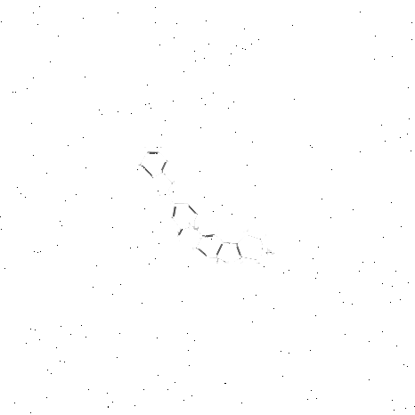 O=c1cc(OCc2ccccc2)ccn1-c1ccc2sc3c(c2c1)CCN(Cl)C3